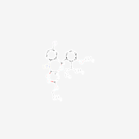 CCOC(=O)C[C@H]1O[C@H](c2cccc(OC)c2C(C)C)c2cc(Cl)ccc2NC1=O